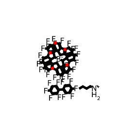 CCCC[NH2+]C.Fc1c(F)c(F)c(-c2c(F)c(F)c(F)c(F)c2F)c(F)c1F.Fc1cc2c(c(F)c1F)-c1c(F)c(F)c(F)c(F)c1C2[B-](C1c2cc(F)c(F)c(F)c2-c2c(F)c(F)c(F)c(F)c21)(C1c2cc(F)c(F)c(F)c2-c2c(F)c(F)c(F)c(F)c21)C1c2cc(F)c(F)c(F)c2-c2c(F)c(F)c(F)c(F)c21